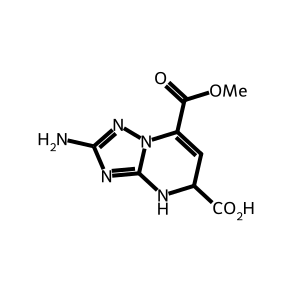 COC(=O)C1=CC(C(=O)O)Nc2nc(N)nn21